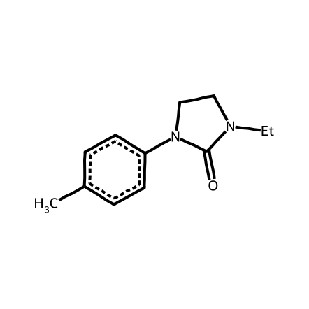 CCN1CCN(c2ccc(C)cc2)C1=O